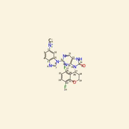 [C-]#[N+]c1ccc2ncn(-c3ncc4[nH]c(=O)n([C@@H]5CCOc6c(F)ccc(F)c65)c4n3)c2c1